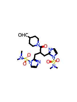 CN(C)S(=O)(=O)n1ccnc1CC(Cc1nccn1S(=O)(=O)N(C)C)C(=O)N1CCC(C=O)CC1